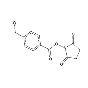 O=C(ON1C(=O)CCC1=O)c1ccc(CCl)cc1